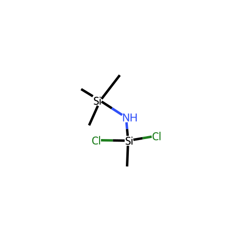 C[Si](C)(C)N[Si](C)(Cl)Cl